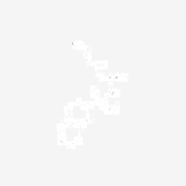 CC(C)CCNC[C@@H](C)NS(=O)(=O)c1ccc2cnccc2c1.Cl